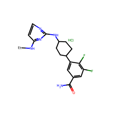 CCNc1ccnc(NC2CCC(c3cc(C(N)=O)cc(F)c3F)CC2)n1.Cl